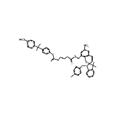 COc1ccc(C(C)(C)c2ccc(OC(=O)CCCCC(=O)OCc3cc([N+](=O)[O-])cc4c3OC3(C=C4)N(Cc4ccc(C)cc4)c4ccccc4C3(C)C)cc2)cc1